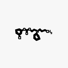 CCCCN(CCOC(=O)Oc1cccc(Cl)c1)c1ccccc1